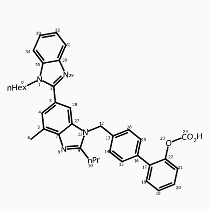 CCCCCCn1c(-c2cc(C)c3nc(CCC)n(Cc4ccc(-c5ccccc5OC(=O)O)cc4)c3c2)nc2ccccc21